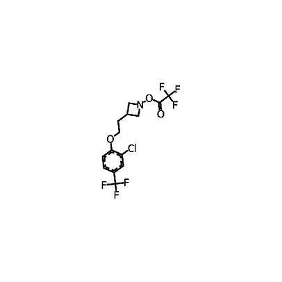 O=C(ON1CC(CCOc2ccc(C(F)(F)F)cc2Cl)C1)C(F)(F)F